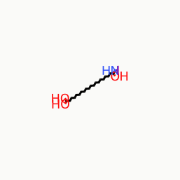 OC(O)CCCCCCCCCCCCCCCCCCC(O)NI